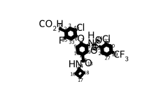 O=C(O)Cc1cc(Cl)c(Oc2ccc(C(=O)NC3=CCC3)cc2NS(=O)(=O)c2ccc(C(F)(F)F)cc2Cl)cc1F